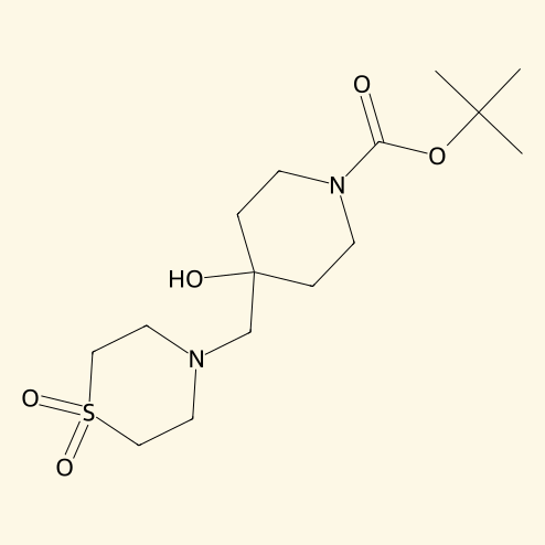 CC(C)(C)OC(=O)N1CCC(O)(CN2CCS(=O)(=O)CC2)CC1